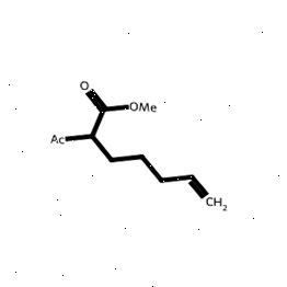 C=CCCCC(C(C)=O)C(=O)OC